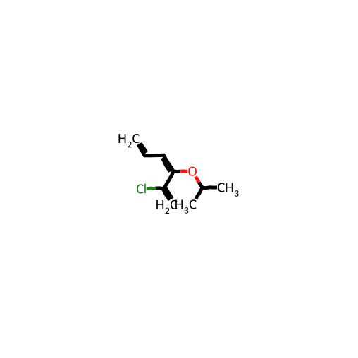 C=C/C=C(/OC(C)C)C(=C)Cl